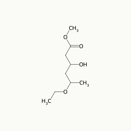 CCOC(C)CC(O)CC(=O)OC